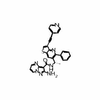 C[C@H](NC(=O)c1c(N)nn2cccnc12)c1cc2scc(C#Cc3ccncc3)c2nc1-c1ccccc1